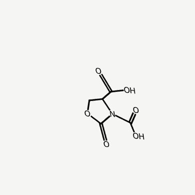 O=C(O)C1COC(=O)N1C(=O)O